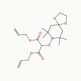 C=CCOC(=O)C(ON1C(C)(C)CC2(CC1(C)C)OCCO2)C(=O)OCC=C